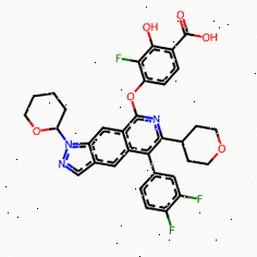 O=C(O)c1ccc(Oc2nc(C3CCOCC3)c(-c3ccc(F)c(F)c3)c3cc4cnn(C5CCCCO5)c4cc23)c(F)c1O